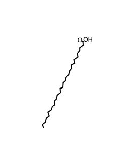 CCCCCCCCCCCCCC=CCCCCCCCCCCCCCCC(=O)O